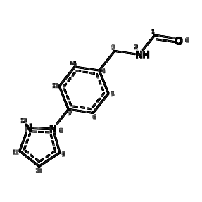 O=CNCc1ccc(-n2cccn2)cc1